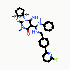 CN1C(=O)C(C(NCc2ccc(-c3cccc(F)n3)cc2)Nc2ccccc2)C(=N)N2C1=N[C@@H]1CCC[C@@H]12